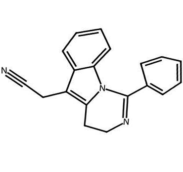 N#CCc1c2n(c3ccccc13)C(c1ccccc1)=NCC2